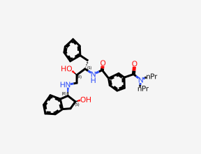 CCCN(CCC)C(=O)c1cccc(C(=O)N[C@@H](Cc2ccccc2)[C@H](O)CN[C@@H]2c3ccccc3C[C@@H]2O)c1